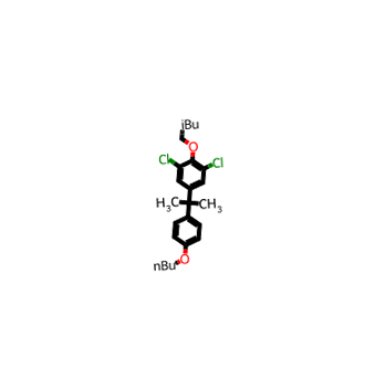 CCCCOc1ccc(C(C)(C)c2cc(Cl)c(OCC(C)CC)c(Cl)c2)cc1